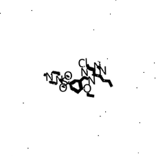 CCCc1nn(C)c2c(Cl)nc(-c3cc(S(=O)(=O)N4CCN(C)CC4)ccc3OCC)nc12